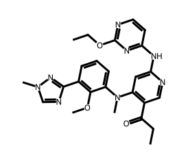 CCOc1nccc(Nc2cc(N(C)c3cccc(-c4ncn(C)n4)c3OC)c(C(=O)CC)cn2)n1